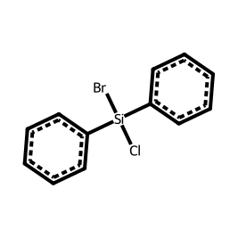 Cl[Si](Br)(c1ccccc1)c1ccccc1